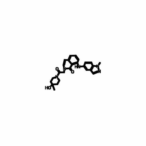 Cn1ncc2cc(Nc3cccc4ccn(CC(=O)N5CCC(C)(O)CC5)c(=O)c34)ccc21